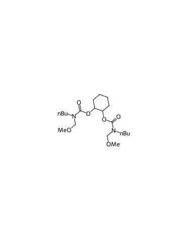 CCCCN(COC)C(=O)OC1CCCCC1OC(=O)N(CCCC)COC